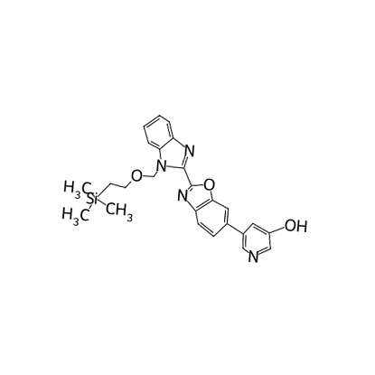 C[Si](C)(C)CCOCn1c(-c2nc3ccc(-c4cncc(O)c4)cc3o2)nc2ccccc21